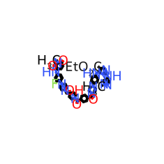 CCOC(=O)c1cnc(Nc2cnn(C)c2)nc1NC1CCC(N2CCN(C(=O)C3CCC(C(=O)N4CCC(O)(CN5CCN(c6ccc(NC7CCC(=O)N(C)C7=O)cc6F)CC5)CC4)CC3)CC2)CC1